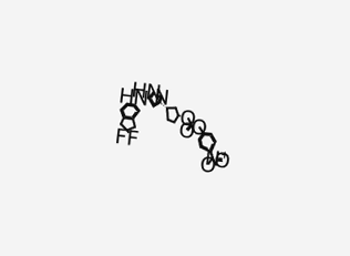 O=C(Oc1ccc([N+](=O)[O-])cc1)O[C@@H]1CC[C@H](c2cc(Nc3ccc4c(c3)CC(F)(F)C4)[nH]n2)C1